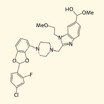 COCCn1c(CN2CCN(c3cccc4c3OC(c3ccc(Cl)cc3F)O4)CC2)nc2ccc(C(O)OC)cc21